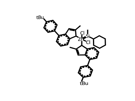 CC1=Cc2c(-c3ccc(C(C)(C)C)cc3)cccc2[CH]1[Zr]([Cl])([Cl])([CH]1C(C)=Cc2c(-c3ccc(C(C)(C)C)cc3)cccc21)=[Si](C)C1CCCCC1